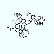 CC(C)c1ccc(N2CCNC[C@H]2C)c(COCC(C)c2ccc(N3CCNC[C@H]3C)c(OCCC(C)c3ccc(N4CCNC[C@H]4C)c(C#N)c3)c2)c1